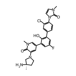 Cn1cc(-c2cc(F)cc(-c3ccc(-n4ccn(C)c4=O)c(Cl)c3)c2O)cc(N2CC[C@@](C)(N)C2)c1=O